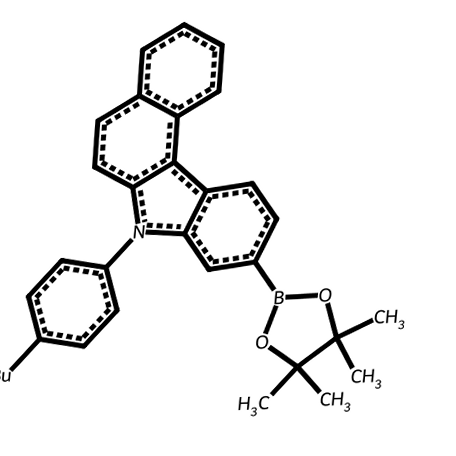 CC(C)(C)c1ccc(-n2c3cc(B4OC(C)(C)C(C)(C)O4)ccc3c3c4ccccc4ccc32)cc1